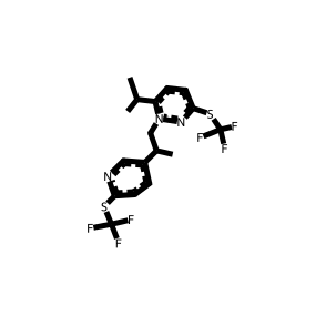 CC(C)c1ccc(SC(F)(F)F)n[n+]1CC(C)c1ccc(SC(F)(F)F)nc1